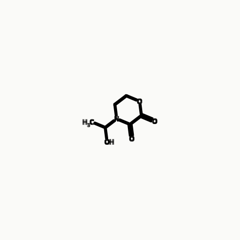 CC(O)N1CCOC(=O)C1=O